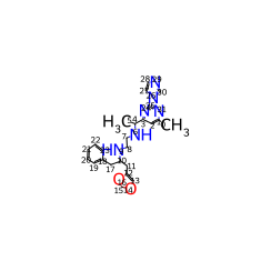 Cc1cc(C(C)NCCNC(CC2=COCO2)Cc2ccccc2)nc(-n2ccnc2)n1